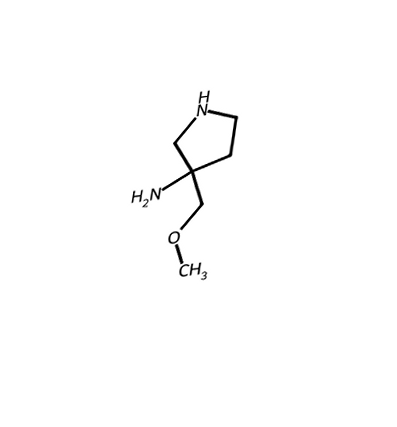 COCC1(N)CCNC1